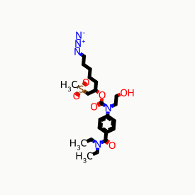 CCN(CC)C(=O)c1ccc(N(CCO)C(=O)OC(CCCCCN=[N+]=[N-])CS(C)(=O)=O)cc1